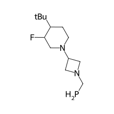 CC(C)(C)C1CCN(C2CN(CP)C2)CC1F